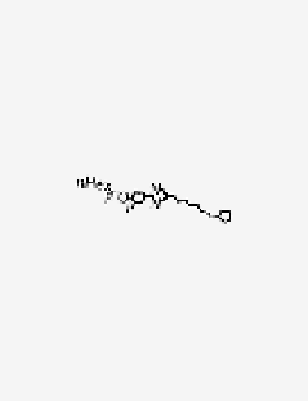 CCCCCCC(F)COc1ccc(-c2ncc(CCCCCCCCC3CCCC3)cn2)cc1F